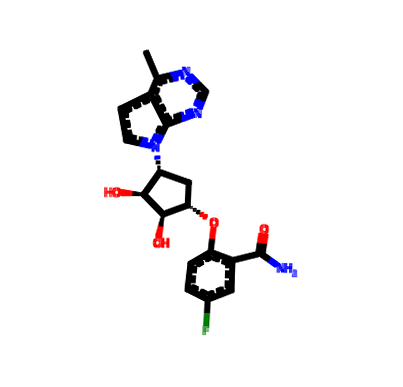 Cc1ncnc2c1ccn2[C@@H]1C[C@H](Oc2ccc(F)cc2C(N)=O)[C@@H](O)[C@H]1O